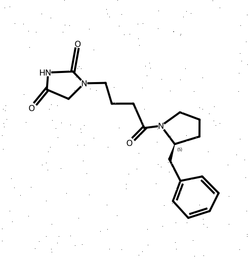 O=C1CN(CCCC(=O)N2CCC[C@H]2Cc2ccccc2)C(=O)N1